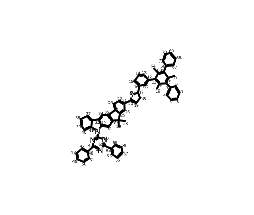 Cc1c(-c2ccccc2)c(C)c(-c2cccc(C3CC=C(c4ccc5c(c4)C(C)(C)c4cc6c(cc4-5)c4ccccc4n6-c4nc(-c5ccccc5)nc(-c5ccccc5)n4)S3)c2)c(C)c1-c1ccccc1